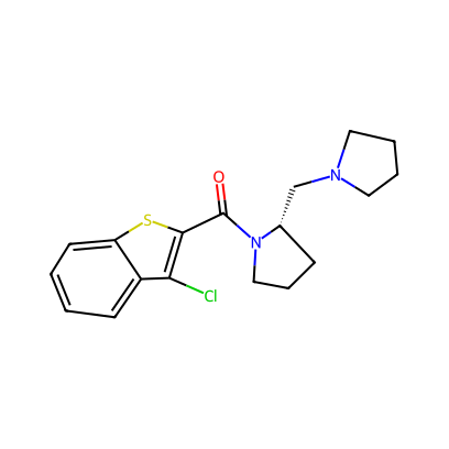 O=C(c1sc2ccccc2c1Cl)N1CCC[C@H]1CN1CCCC1